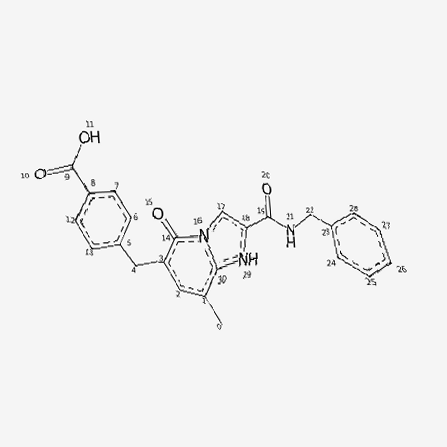 Cc1cc(Cc2ccc(C(=O)O)cc2)c(=O)n2cc(C(=O)NCc3ccccc3)[nH]c12